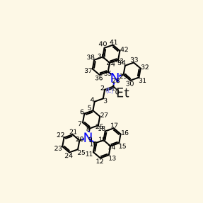 CC/C(=C\CCC1=CC=C(N(c2cccc3ccccc23)C2C=CC=CC2)CC1)N(C1=CC=CCC1)c1cccc2ccccc12